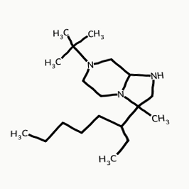 CCCCCC(CC)C1(C)CNC2CN(C(C)(C)C)CCN21